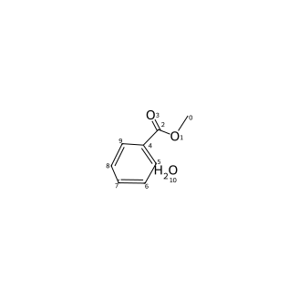 COC(=O)c1cc[c]cc1.O